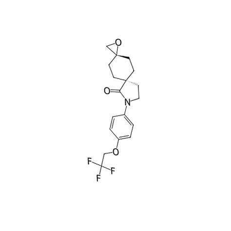 O=C1N(c2ccc(OCC(F)(F)F)cc2)CC[C@]12CC[C@@]1(CC2)CO1